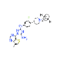 Cc1csc2c(-n3nc(Nc4ccc(C5CCN([C@H]6C[C@@H]7CC[C@H]6C7)CC5)c(F)c4)nc3N)ncnc12